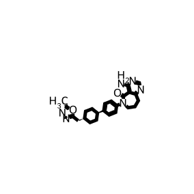 Cc1nnc(C[C@H]2CC[C@H](c3ccc(N4CCCc5ncnc(N)c5C4=O)cc3)CC2)o1